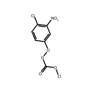 O=C(OCl)OOc1ccc(Cl)c([N+](=O)[O-])c1